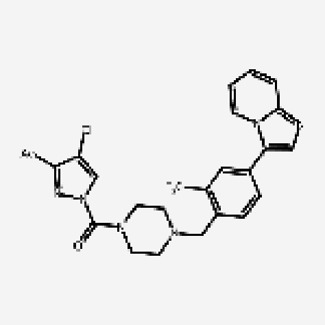 CC(=O)c1nn(C(=O)N2CCN(Cc3ccc(-c4cnc5ccccn45)cc3C(F)(F)F)CC2)cc1Cl